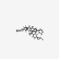 COc1ccc2c(c1)CC(N(C(=O)C1CCC(C)CC1)c1cc(C3=CCCCC3)sc1C(=O)O)CC2